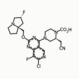 N#CC[C@H]1CN(c2nc(OC[C@@]34CCCN3C[C@H](F)C4)nc3c(F)c(Cl)ncc23)CCN1C(=O)O